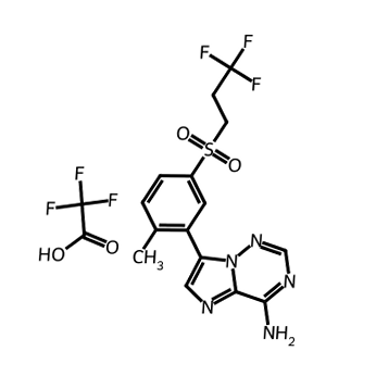 Cc1ccc(S(=O)(=O)CCC(F)(F)F)cc1-c1cnc2c(N)ncnn12.O=C(O)C(F)(F)F